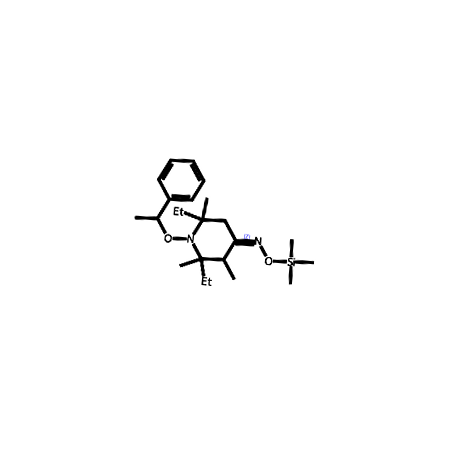 CCC1(C)C/C(=N/O[Si](C)(C)C)C(C)C(C)(CC)N1OC(C)c1ccccc1